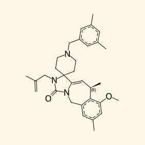 C=C(C)CN1C(=O)N2Cc3cc(C)cc(OC)c3[C@H](C)C=C2C12CCN(Cc1cc(C)cc(C)c1)CC2